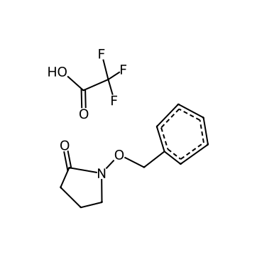 O=C(O)C(F)(F)F.O=C1CCCN1OCc1ccccc1